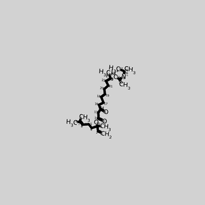 C=CC(C)(CCC=C(C)C)OC(=O)CC(=O)CCCCCCCCC.CC(C)[N-]C(C)C.[Li+]